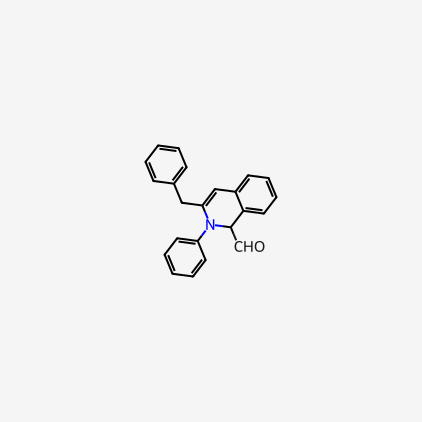 O=CC1c2ccccc2C=C(Cc2ccccc2)N1c1ccccc1